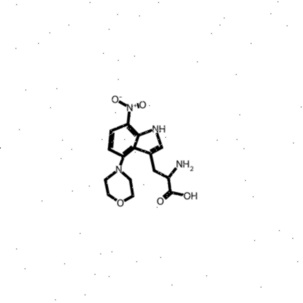 NC(Cc1c[nH]c2c([N+](=O)[O-])ccc(N3CCOCC3)c12)C(=O)O